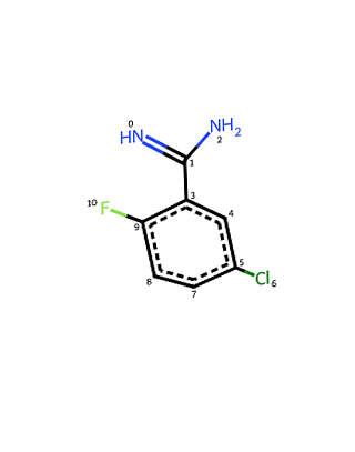 N=C(N)c1cc(Cl)ccc1F